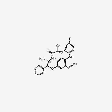 C[C@H](NC(=O)C(=O)O)C(Oc1ccc(Nc2ccc(F)cc2)c(C=N)c1)c1ccccc1